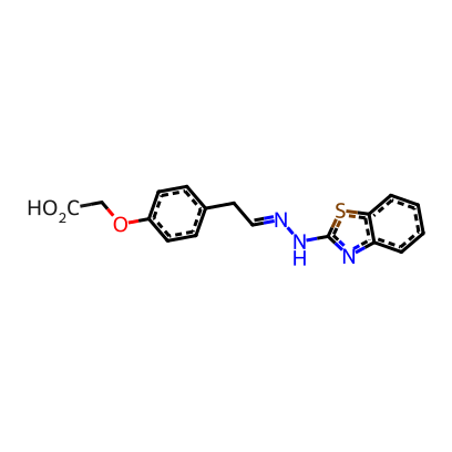 O=C(O)COc1ccc(CC=NNc2nc3ccccc3s2)cc1